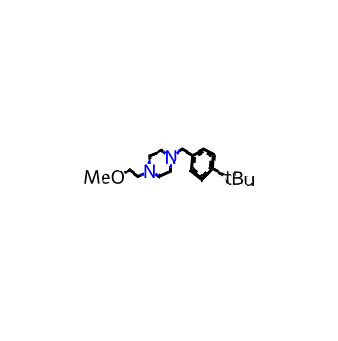 COCCN1CCN(Cc2ccc(C(C)(C)C)cc2)CC1